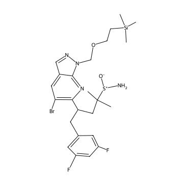 CC(C)(CC(Cc1cc(F)cc(F)c1)c1nc2c(cnn2COCC[Si](C)(C)C)cc1Br)[S+](N)[O-]